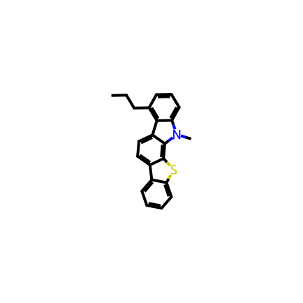 CCCc1cccc2c1c1ccc3c4ccccc4sc3c1n2C